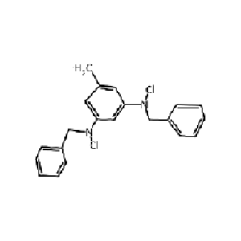 [CH2]c1cc(N(Cl)Cc2ccccc2)cc(N(Cl)Cc2ccccc2)c1